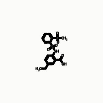 CCc1ccc(NS(=O)(=O)c2ccccc2S(C)(=O)=O)c(C(=O)O)c1